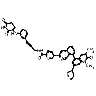 Cc1cc2c(-c3cccc4cc(-c5ccc(C(=O)NCC#Cc6cccc(NC7CCC(=O)NC7=O)c6)nc5)ncc34)cc(C3CCOC3)cc2n(C)c1=O